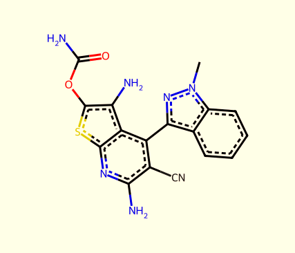 Cn1nc(-c2c(C#N)c(N)nc3sc(OC(N)=O)c(N)c23)c2ccccc21